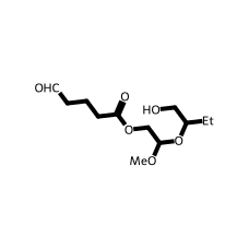 CCC(CO)OC(COC(=O)CCCC=O)OC